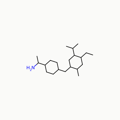 CCC1CC(C)C(CC2CCC(C(C)N)CC2)CC1C(C)C